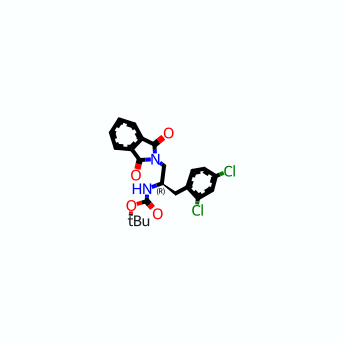 CC(C)(C)OC(=O)N[C@H](Cc1ccc(Cl)cc1Cl)CN1C(=O)c2ccccc2C1=O